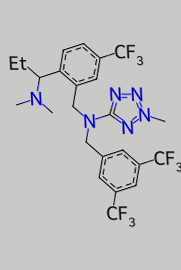 CCC(c1ccc(C(F)(F)F)cc1CN(Cc1cc(C(F)(F)F)cc(C(F)(F)F)c1)c1nnn(C)n1)N(C)C